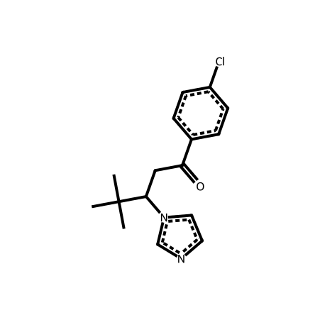 CC(C)(C)C(CC(=O)c1ccc(Cl)cc1)n1ccnc1